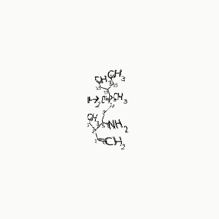 C=CC(CC)C(N)CCP(=C)(C)C(CC)CC